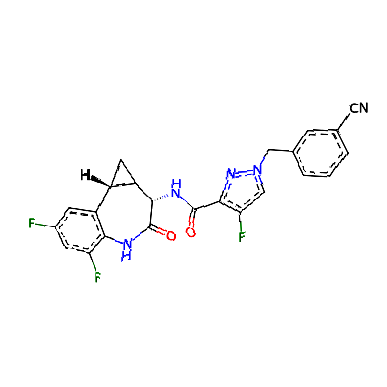 N#Cc1cccc(Cn2cc(F)c(C(=O)N[C@@H]3C(=O)Nc4c(F)cc(F)cc4[C@@H]4CC34)n2)c1